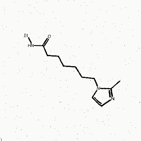 CCNC(=O)CCCCCCn1c[c]nc1C